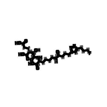 O=C(O)CC[C@@H](C(=O)O)N(O)C(=O)N[C@@H](CCCCNC(=O)CCCn1cc(CCCF)nn1)C(=O)O